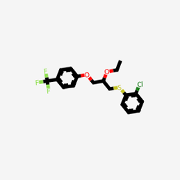 CCOC(COc1ccc(C(F)(F)F)cc1)CSc1cc[c]cc1Cl